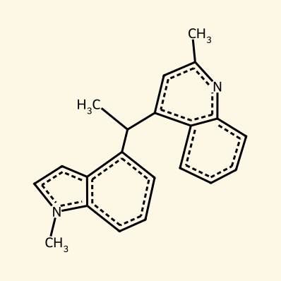 Cc1cc(C(C)c2cccc3c2ccn3C)c2ccccc2n1